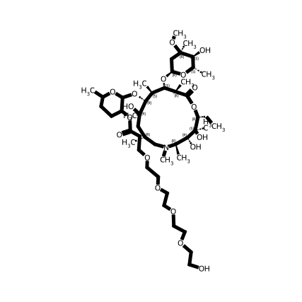 CC[C@H]1OC(=O)[C@H](C)[C@@H](O[C@H]2C[C@@](C)(OC)[C@@H](O)[C@H](C)O2)[C@H](C)[C@@H](OC2OC(C)CCC2OC(=O)CCOCCOCCOCCOCCO)[C@](C)(O)C[C@@H](C)CN(C)[C@H](C)[C@@H](O)[C@]1(C)O